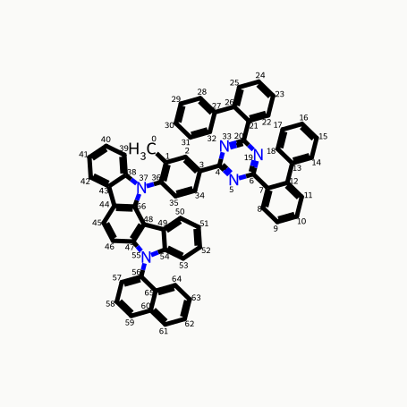 Cc1cc(-c2nc(-c3ccccc3-c3ccccc3)nc(-c3ccccc3-c3ccccc3)n2)ccc1-n1c2ccccc2c2ccc3c(c4ccccc4n3-c3cccc4ccccc34)c21